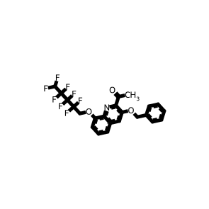 CC(=O)c1nc2c(OCC(F)(F)C(F)(F)C(F)(F)C(F)F)cccc2cc1OCc1ccccc1